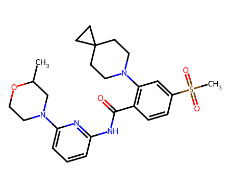 CC1CN(c2cccc(NC(=O)c3ccc(S(C)(=O)=O)cc3N3CCC4(CC3)CC4)n2)CCO1